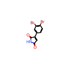 O=C1C=C(c2ccc(Br)c(Br)c2)C(=O)N1